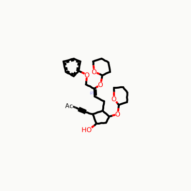 CC(=O)C#CC1C(O)CC(OC2CCCCO2)C1C/C=C(/COc1ccccc1)OC1CCCCO1